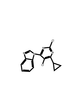 Clc1nc(C2CC2)c(Cl)c(-n2cnc3ccccc32)n1